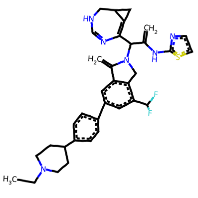 C=C(Nc1nccs1)C(C1=C2CC2CNC=N1)N1Cc2c(cc(-c3ccc(C4CCN(CC)CC4)cc3)cc2C(F)F)C1=C